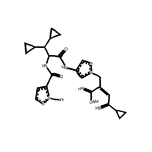 COC(=N)/C(=C\C(=N)C1CC1)Cn1cc(NC(=O)C(NC(=O)c2ccnn2C(C)C)C(C2CC2)C2CC2)cn1